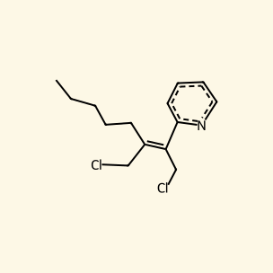 CCCCC/C(CCl)=C(/CCl)c1ccccn1